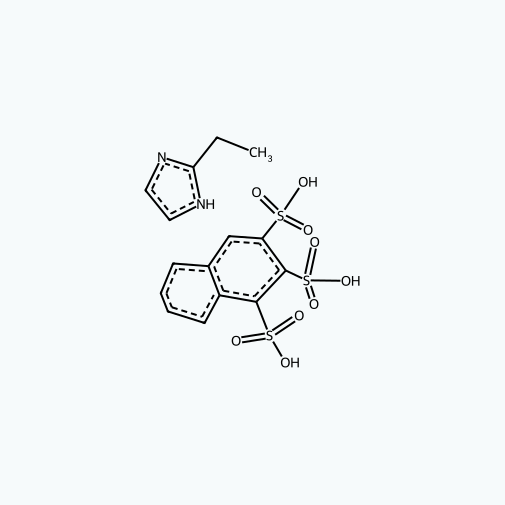 CCc1ncc[nH]1.O=S(=O)(O)c1cc2ccccc2c(S(=O)(=O)O)c1S(=O)(=O)O